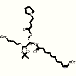 CCCCCCCC/C=C\CCCCCCCC(=O)N[C@@H](COC(=O)CCCN1CCCC1)[C@@H]1OC(C)(C)O[C@@H]1CCCCCCCCCCCCCC